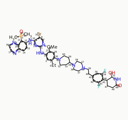 CCc1cc(Nc2ncc(Br)c(Nc3ccc4nccnc4c3P(C)(C)=O)n2)c(OC)cc1N1CCC(N2CCN(CCc3cc(F)c(C4CCC(=O)NC4O)c(F)c3)CC2)CC1